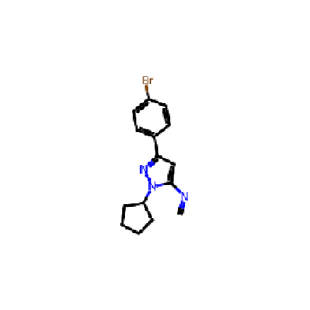 C=Nc1cc(-c2ccc(Br)cc2)nn1C1CCCC1